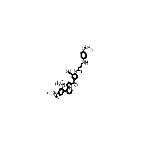 COc1cc2c(cc1-c1cccn3c(C(=O)c4ccc(NC(=O)/C=C/CNC5CCC(OC)CC5)c(C#N)c4)ccc13)ncn2C